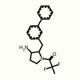 CC(F)(F)C(=O)N1CCC(N)C1Cc1cccc(-c2ccccc2)c1